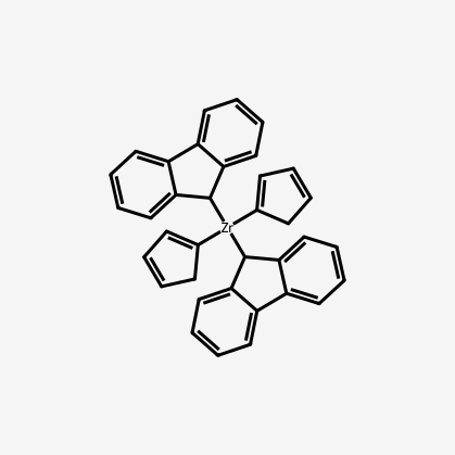 C1=CC[C]([Zr]([C]2=CC=CC2)([CH]2c3ccccc3-c3ccccc32)[CH]2c3ccccc3-c3ccccc32)=C1